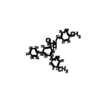 Cc1ccc(-c2cc(C(=O)NCc3ccc(C)nc3)cc(-c3ccccc3)c2)nc1